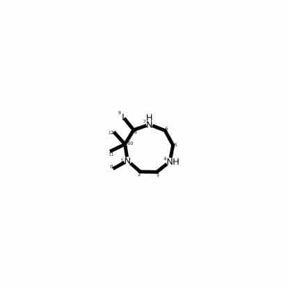 CN1CCNCCNC(I)C1(C)C